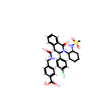 CS(=O)(=O)N[C@H]1CCCCC1N1C(=O)c2ccccc2[C@@H](C(=O)NCc2ccc(C(=O)O)cc2)[C@@H]1c1ccc(Cl)cc1